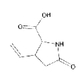 C=CC1CC(=O)NC1C(=O)O